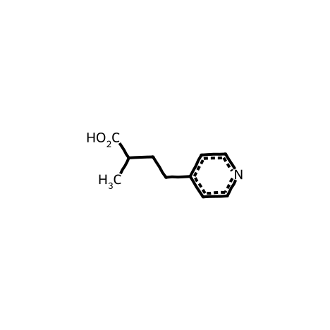 CC(CCc1ccncc1)C(=O)O